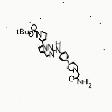 CC(C)(C)OC(=O)N1CCC=C(c2ccc3cnc(Nc4ccc(C5CCN(CC(N)=O)CC5)cc4)nn23)C1